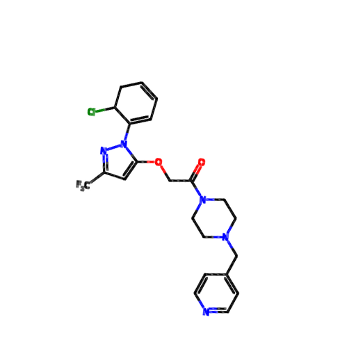 O=C(COc1cc(C(F)(F)F)nn1C1=CC=CCC1Cl)N1CCN(Cc2ccncc2)CC1